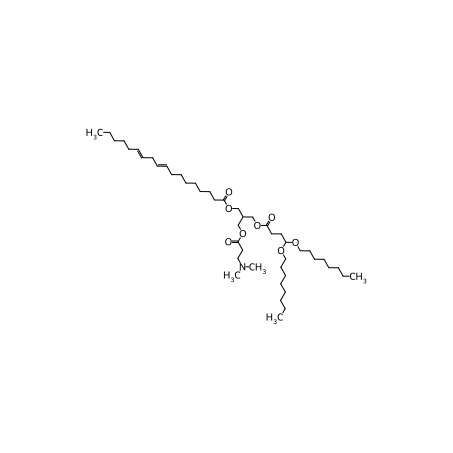 CCCCCC=CCC=CCCCCCCCC(=O)OCC(COC(=O)CCC(OCCCCCCCC)OCCCCCCCC)COC(=O)CCN(C)C